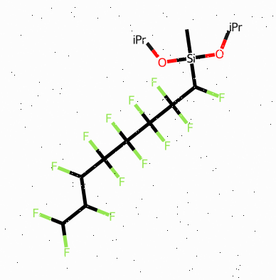 CC(C)O[Si](C)(OC(C)C)C(F)C(F)(F)C(F)(F)C(F)(F)C(F)(F)C(F)C(F)C(F)F